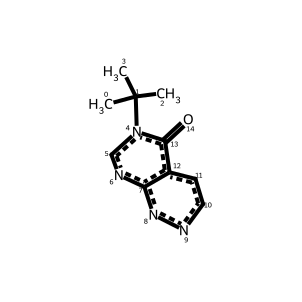 CC(C)(C)n1cnc2nnccc2c1=O